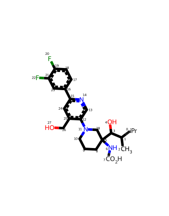 CC(C)C(C)C(O)C1(NC(=O)O)CCCN(c2cnc(-c3ccc(F)c(F)c3)cc2CO)C1